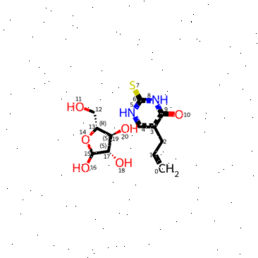 C=CCc1c[nH]c(=S)[nH]c1=O.OC[C@H]1OC(O)[C@@H](O)[C@@H]1O